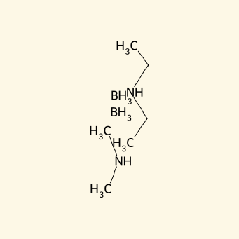 B.B.CCNCC.CNC